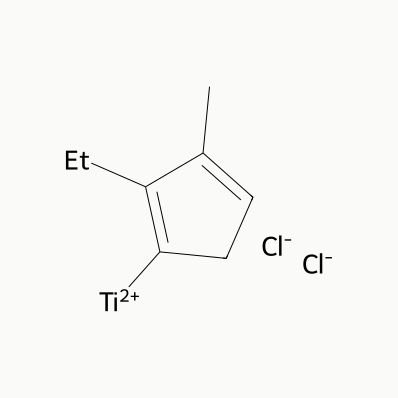 CCC1=[C]([Ti+2])CC=C1C.[Cl-].[Cl-]